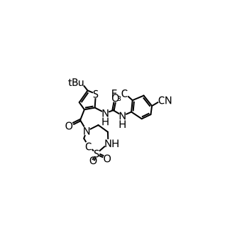 CC(C)(C)c1cc(C(=O)N2CCNS(=O)(=O)CC2)c(NC(=O)Nc2ccc(C#N)cc2C(F)(F)F)s1